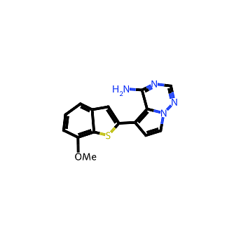 COc1cccc2cc(-c3ccn4ncnc(N)c34)sc12